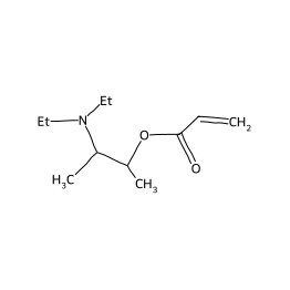 C=CC(=O)OC(C)C(C)N(CC)CC